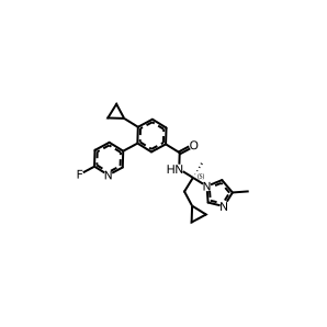 Cc1cn([C@@](C)(CC2CC2)NC(=O)c2ccc(C3CC3)c(-c3ccc(F)nc3)c2)cn1